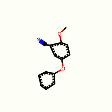 COc1ccc(Oc2ccccc2)cc1C#N